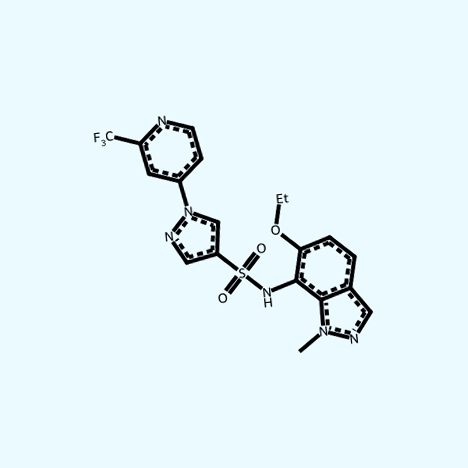 CCOc1ccc2cnn(C)c2c1NS(=O)(=O)c1cnn(-c2ccnc(C(F)(F)F)c2)c1